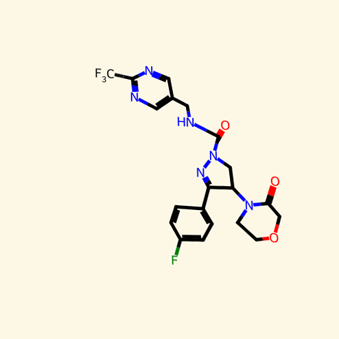 O=C(NCc1cnc(C(F)(F)F)nc1)N1CC(N2CCOCC2=O)C(c2ccc(F)cc2)=N1